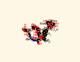 CC[C@H](C)[C@H](C[C@H](O)CC(=O)N[C@H]1C(CO)O[C@@H](OC(=O)[C@]23CCC(C)(C)CC2C2=CCC4C5(C)CC[C@H](O[C@@H]6OC(C(=O)O)[C@@H](O)[C@H](O[C@@H]7OC[C@@H](O)[C@H](O)C7O)C6O[C@@H]6OC(COC)[C@H](O)[C@H](O)C6OC)[C@](C)(C=O)[C@@H]5CC[C@]4(C)[C@]2(C)CC3O)C(OC[C@@H]2O[C@H](C)[C@H](O[C@@H]3OC[C@@H](O)C(O[C@@H]4OC[C@@](O)(CO)C4O)C3O)C(O)C2O)C1O)NC(=O)C[C@@H](O)C[C@H](O[C@@H]1O[C@@H](CO)C(O)C1O)[C@@H](C)CC